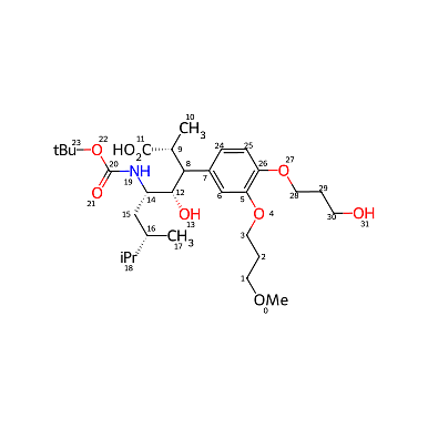 COCCCOc1cc(C([C@@H](C)C(=O)O)[C@H](O)[C@H](C[C@H](C)C(C)C)NC(=O)OC(C)(C)C)ccc1OCCCO